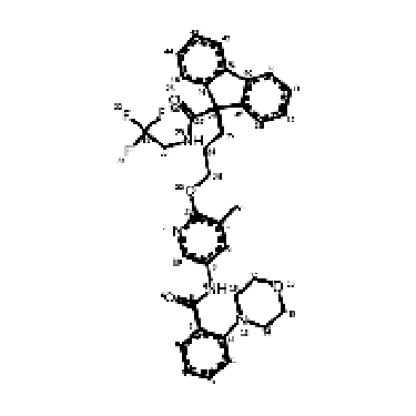 Cc1cc(NC(=O)c2ccccc2N2CCOCC2)cnc1OCCCC1(C(=O)NCC(F)(F)F)c2ccccc2-c2ccccc21